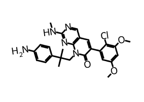 CNc1ncc2cc(-c3cc(OC)cc(OC)c3Cl)c(=O)n(CC(C)(C)c3ccc(N)cc3)c2n1